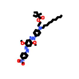 CCCCCCCCCCN(CCOC(=O)C(C)(CC)CC)c1ccc(/N=N/c2cc(OC)c(/N=N/c3ccc([N+](=O)[O-])cc3)cc2OC)cc1